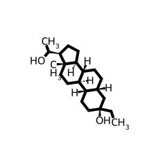 CC[C@]1(O)CC[C@H]2[C@H](CC[C@@H]3[C@@H]2CC[C@]2(C)[C@@H](C(C)O)CC[C@@H]32)C1